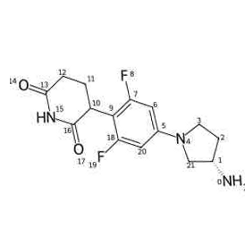 N[C@H]1CCN(c2cc(F)c(C3CCC(=O)NC3=O)c(F)c2)C1